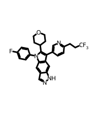 Fc1ccc(-n2c(C3CCOCC3)c(-c3ccc(CCC(F)(F)F)nc3)c3cc4[nH]ncc4cc32)cc1